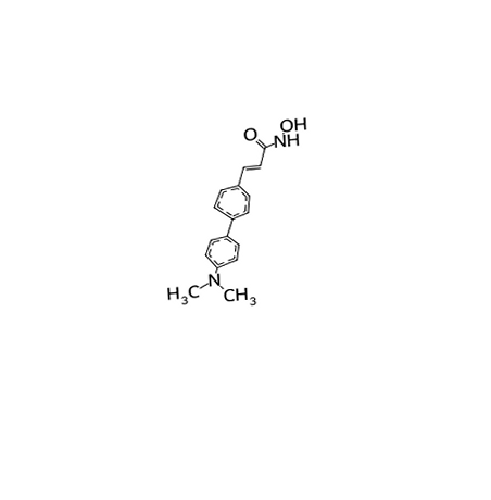 CN(C)c1ccc(-c2ccc(C=CC(=O)NO)cc2)cc1